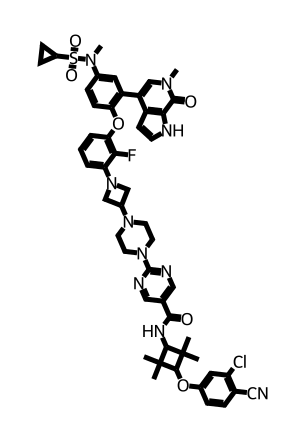 CN(c1ccc(Oc2cccc(N3CC(N4CCN(c5ncc(C(=O)NC6C(C)(C)C(Oc7ccc(C#N)c(Cl)c7)C6(C)C)cn5)CC4)C3)c2F)c(-c2cn(C)c(=O)c3[nH]ccc23)c1)S(=O)(=O)C1CC1